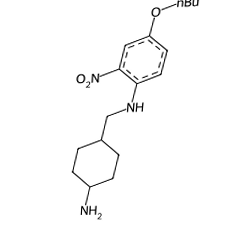 CCCCOc1ccc(NCC2CCC(N)CC2)c([N+](=O)[O-])c1